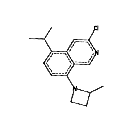 CC(C)c1ccc(N2CCC2C)c2cnc(Cl)cc12